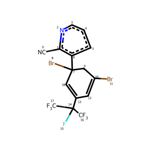 N#Cc1ncccc1C1(Br)[CH]C(Br)=CC(C(F)(C(F)(F)F)C(F)(F)F)=C1